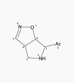 CC(=O)C1NCC2C=NOC21